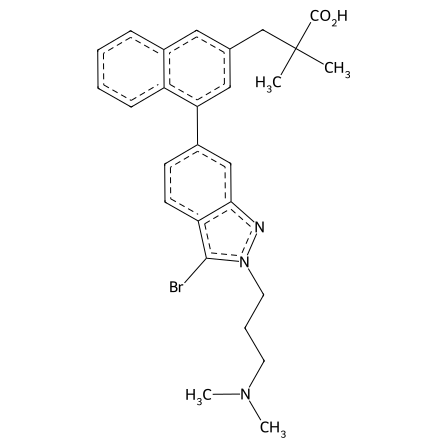 CN(C)CCCn1nc2cc(-c3cc(CC(C)(C)C(=O)O)cc4ccccc34)ccc2c1Br